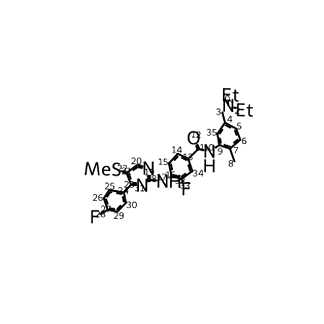 CCN(CC)Cc1ccc(C)c(NC(=O)c2ccc(Nc3ncc(SC)c(-c4ccc(F)cc4)n3)c(F)c2)c1